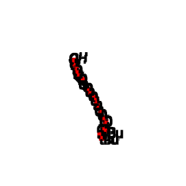 CC(C)(C)c1ccc(OC(=O)CCC(=O)OCCOCCOCCOCCOCCOCCOCCOCCOCCOCCOCCOCCOCCO)c(C(C)(C)C)c1